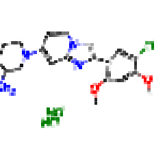 COc1cc(OC)c(-c2cn3ccc(N4CCCC(N)C4)cc3n2)cc1Cl.Cl.Cl